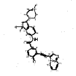 CN1CCN(C2CC(F)(F)c3cc(NC(=O)c4ccc(Cl)c(C#Cc5cnc6cccnn56)c4)ccc32)CC1